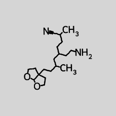 CC(C#N)CCC(CCN)CC(C)CCC12CCOC1OCC2